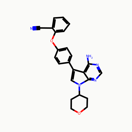 N#Cc1ccccc1Oc1ccc(-c2cn(C3CCOCC3)c3ncnc(N)c23)cc1